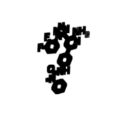 CN(C(=O)Nc1ccc(-c2cnc(N)c(-c3nnnn3-c3cccc(F)c3F)c2)cc1)c1ccccc1